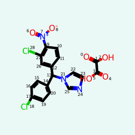 O=C(O)C(=O)O.O=[N+]([O-])c1ccc(C(c2ccc(Cl)cc2)n2ccnc2)cc1Cl